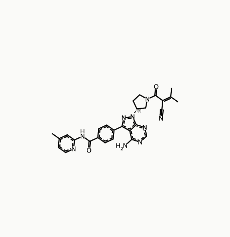 CC(C)=C(C#N)C(=O)N1CC[C@@H](n2nc(-c3ccc(C(=O)Nc4cc(C)ccn4)cc3)c3c(N)ncnc32)C1